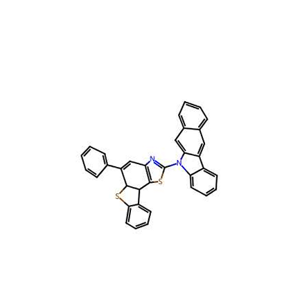 C1=C(c2ccccc2)C2Sc3ccccc3C2c2sc(-n3c4ccccc4c4cc5ccccc5cc43)nc21